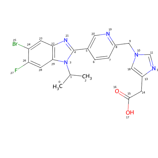 CC(C)n1c(-c2ccc(Cn3cnc(CC(=O)O)c3)nc2)nc2cc(Br)c(F)cc21